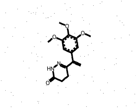 C=C(C1=NNC(=O)CC1)c1cc(OC)c(OC)c(OC)c1